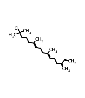 C=CC(=C)CC/C=C(\C)CC/C=C(\C)CCCC(C)(C)Cl